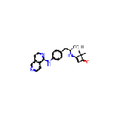 CC1(C)C(=O)C=C1N[C@@H](Cc1ccc(Nc2nccc3cnccc23)cc1)C(=O)O